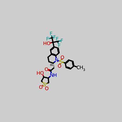 Cc1ccc(S(=O)(=O)N2c3ccc(C(O)(C(F)(F)F)C(F)(F)F)cc3CC[C@H]2CC(=O)NC2CS(=O)(=O)CC2O)cc1